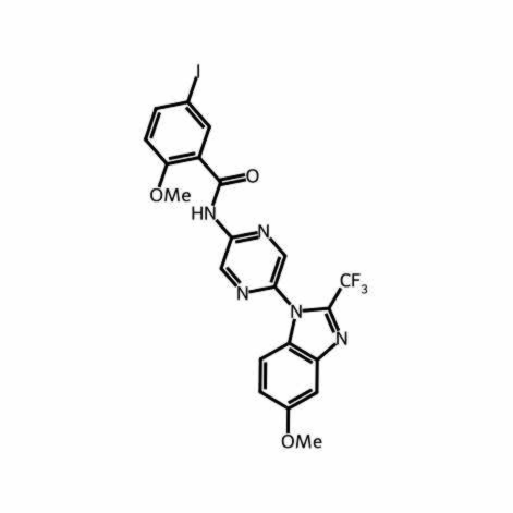 COc1ccc2c(c1)nc(C(F)(F)F)n2-c1cnc(NC(=O)c2cc(I)ccc2OC)cn1